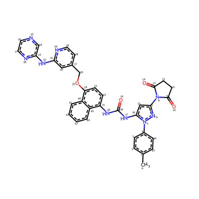 Cc1ccc(-n2nc(N3C(=O)CCC3=O)cc2NC(=O)Nc2ccc(OCc3ccnc(Nc4cnccn4)c3)c3ccccc23)cc1